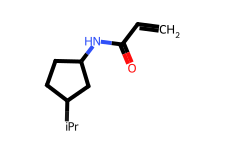 C=CC(=O)NC1CCC(C(C)C)C1